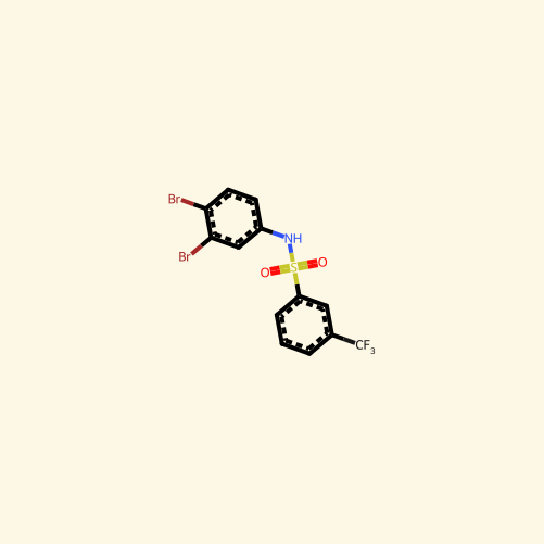 O=S(=O)(Nc1ccc(Br)c(Br)c1)c1cccc(C(F)(F)F)c1